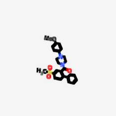 COc1ccc(N2CCN(C(=O)c3cc(S(C)(=O)=O)ccc3-c3ccccc3)CC2)cc1